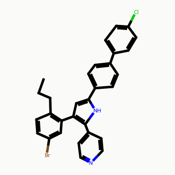 CCCc1ccc(Br)cc1-c1cc(-c2ccc(-c3ccc(Cl)cc3)cc2)[nH]c1-c1ccncc1